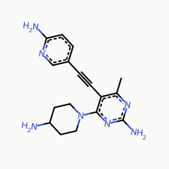 Cc1nc(N)nc(N2CCC(N)CC2)c1C#Cc1ccc(N)nc1